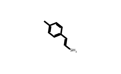 Cc1ccc(C=C[SiH3])cc1